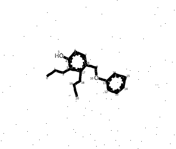 CCCc1c(O)ccc(COc2ccccc2)c1CCC